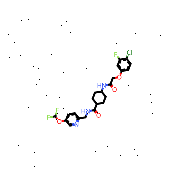 O=C(COc1ccc(Cl)c(F)c1)NC1CCC(C(=O)NCc2ccc(OC(F)F)cn2)CC1